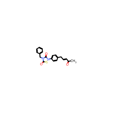 CC(=O)/C=C/Cc1ccc(-n2sc(=O)n(Cc3ccccc3)c2=O)cc1